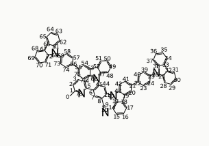 Cc1cccc(-c2cc(C#N)c(-n3c4ccccc4c4cc(-c5ccc(-n6c7ccccc7c7ccccc76)cc5)ccc43)cc2-n2c3ccccc3c3cc(-c4ccc(-n5c6ccccc6c6ccccc65)cc4)ccc32)n1